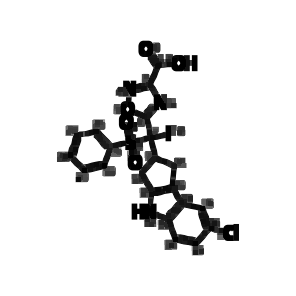 O=C(O)c1noc(C(F)(C2Cc3[nH]c4ccc(Cl)cc4c3C2)S(=O)(=O)c2ccccc2)n1